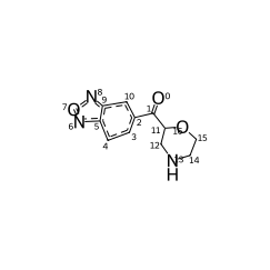 O=C(c1ccc2nonc2c1)C1CNCCO1